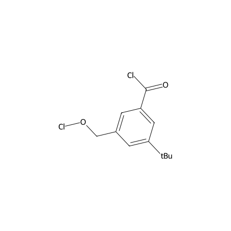 CC(C)(C)c1cc(COCl)cc(C(=O)Cl)c1